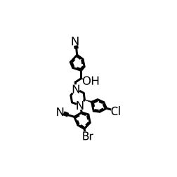 N#Cc1ccc([C@H](O)CN2CCN(c3ccc(Br)cc3C#N)[C@H](c3ccc(Cl)cc3)C2)cc1